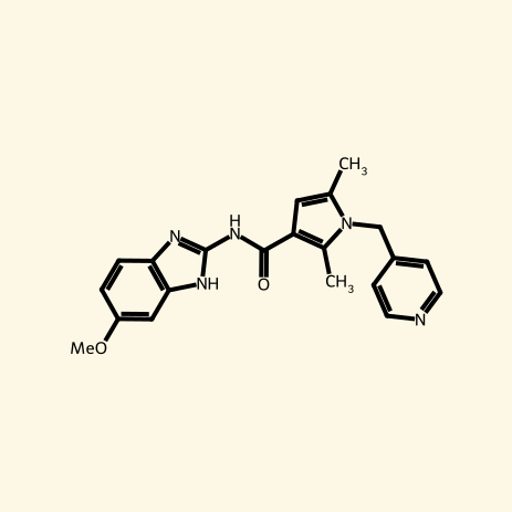 COc1ccc2nc(NC(=O)c3cc(C)n(Cc4ccncc4)c3C)[nH]c2c1